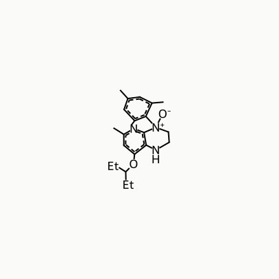 CCC(CC)Oc1cc(C)nc2c1NCC[N+]2([O-])c1c(C)cc(C)cc1C